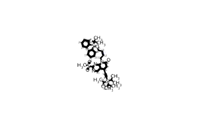 CC(C)[Si](C#Cc1cc(=O)n(C/C=C\CO[Si](c2ccccc2)(c2ccccc2)C(C)(C)C)c2nc(S(C)(=O)=O)ncc12)(C(C)C)C(C)C